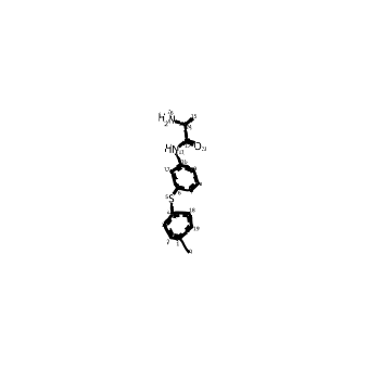 Cc1ccc(Sc2cccc(NC(=O)C(C)N)c2)cc1